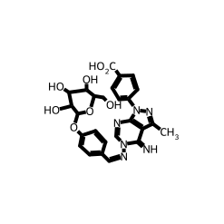 Cc1nn(-c2ccc(C(=O)O)cc2)c2ncn(/N=C\c3ccc(OC4OC(CO)C(O)C(O)C4O)cc3)c(=N)c12